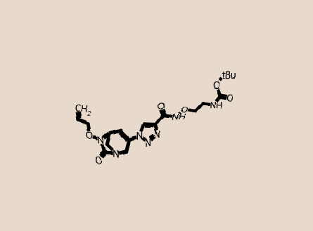 C=CCON1C(=O)N2CC(n3cc(C(=O)NOCCNC(=O)OC(C)(C)C)nn3)=CC1C2